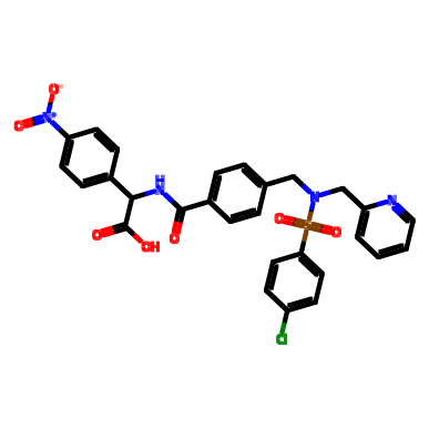 O=C(NC(C(=O)O)c1ccc([N+](=O)[O-])cc1)c1ccc(CN(Cc2ccccn2)S(=O)(=O)c2ccc(Cl)cc2)cc1